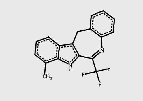 Cc1cccc2c3c([nH]c12)C(C(F)(F)F)=Nc1ccccc1C3